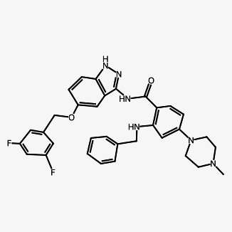 CN1CCN(c2ccc(C(=O)Nc3n[nH]c4ccc(OCc5cc(F)cc(F)c5)cc34)c(NCc3ccccc3)c2)CC1